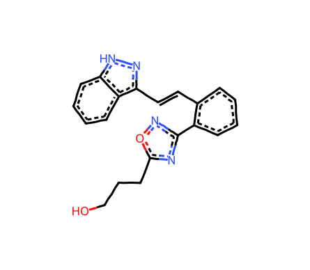 OCCCc1nc(-c2ccccc2C=Cc2n[nH]c3ccccc23)no1